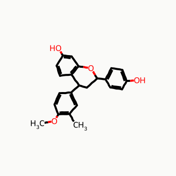 COc1ccc(C2CC(c3ccc(O)cc3)Oc3cc(O)ccc32)cc1C